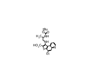 CCc1cc2ncccc2c2c(NCC(C)NC(=O)OC(C)(C)C)c(C(=O)O)sc12